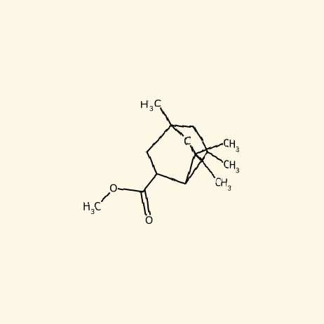 COC(=O)C1CC2(C)CC(C)C1C(C)(C)C2